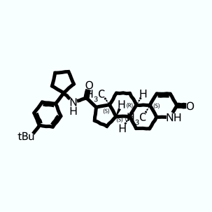 CC(C)(C)c1ccc(C2(NC(=O)C3CC[C@H]4[C@@H]5CCC6NC(=O)C=C[C@]6(C)[C@@H]5CC[C@]34C)CCCC2)cc1